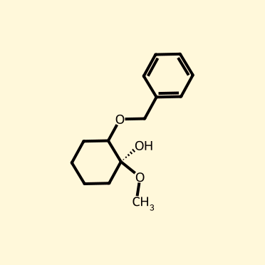 CO[C@@]1(O)CCCCC1OCc1ccccc1